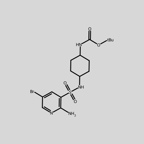 CC(C)(C)OC(=O)NC1CCC(NS(=O)(=O)c2cc(Br)cnc2N)CC1